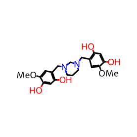 COc1cc(CN2CCCN(Cc3cc(OC)c(O)cc3O)C2)c(O)cc1O